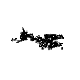 Cc1c(CCNC(=O)N2CCC(NC(=O)n3c(-c4ccnn4-c4ccc(C#N)cc4)c(C)n(-c4cccc(C(F)(F)F)c4)c3=O)CC2)cc(S(N)(=O)=O)c(C)c1C